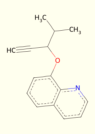 C#CC(Oc1cccc2cccnc12)C(C)C